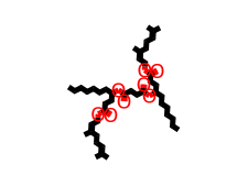 CCCCCCCC(CCC(=O)OCC=C(C)CCC=C(C)C)OC(=O)CCC(=O)OC(CCCCCCC)CCC(=O)OCC=C(C)CCC=C(C)C